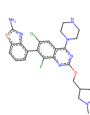 CN1CCC(COc2nc(N3CCNCC3)c3cc(Cl)c(-c4cccc5sc(N)nc45)c(F)c3n2)C1